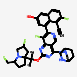 [2H]C([2H])(Oc1nc(N2CC3CCC2CN3)c2cnc(-c3cc(O)cc4ccc(F)c(C#C)c34)c(F)c2n1)C12CCC(CF)N1CC(F)C2